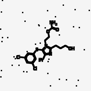 CC(C)c1nc(CCCO)n(CCOC(N)=O)c1Sc1cc(Cl)cc(Cl)c1